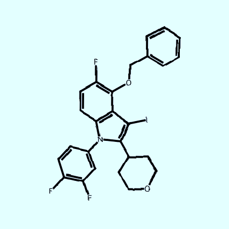 Fc1ccc(-n2c(C3CCOCC3)c(I)c3c(OCc4ccccc4)c(F)ccc32)cc1F